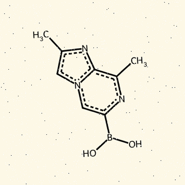 Cc1cn2cc(B(O)O)nc(C)c2n1